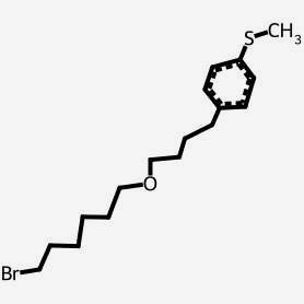 CSc1ccc(CCCCOCCCCCCBr)cc1